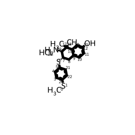 CSc1ccc(S[C@H]2Cc3ccc(O)cc3C(C)(C)[C@@H]2N)cc1.Cl